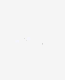 C/C=C\N=C(/C)CCCO